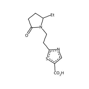 CCC1CCC(=O)N1CCc1ncc(C(=O)O)s1